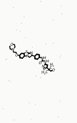 CC(C)(C=O)c1cc(NC(=O)Nc2ccc(C3CN4C(=N3)Sc3cc(OCCN5CCOCC5)ccc34)cc2)no1